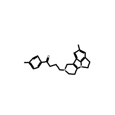 Cc1ccc(C(=O)CCCN2CCc3c(c4cc(C)cc5c4n3CC5)C2)cc1